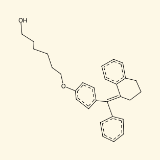 OCCCCCCOc1ccc(C(=C2CCCc3ccccc32)c2ccccc2)cc1